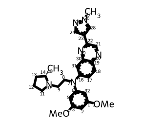 COc1cc(OC)cc(N(CCN2CCC[C@@H]2C)c2ccc3ncc(-c4cnn(C)c4)nc3c2)c1